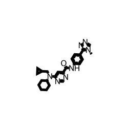 Cn1cnnc1-c1ccc(NC(=O)c2cc(N(CC3CC3)C3CCCCC3)ncn2)cc1